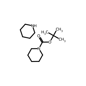 C1CCNCC1.CC(C)(C)OC(=O)N1CCCCC1